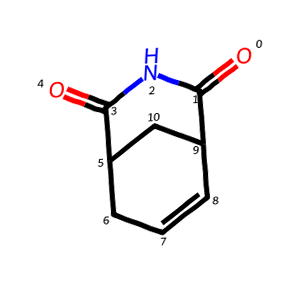 O=C1NC(=O)C2CC=CC1C2